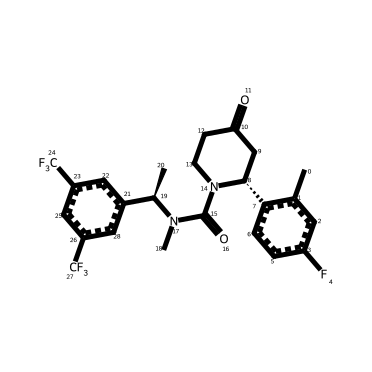 Cc1cc(F)ccc1[C@H]1CC(=O)CCN1C(=O)N(C)[C@H](C)c1cc(C(F)(F)F)cc(C(F)(F)F)c1